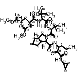 CCC[C@H](NC(=O)C1[C@H]2CCC[C@H]2CN1C(=O)[C@@H](NC(=O)[C@@H](NC(=O)[C@H](CNC(=O)OC)NC(=O)OC)C(C)(C)C)C(C)(C)C)C(=O)C(=O)NC1CC1